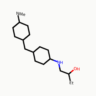 CCC(O)CNC1CCC(CC2CCC(NC)CC2)CC1